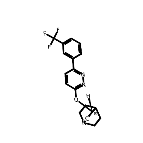 FC(F)(F)c1cccc(-c2ccc(O[C@H]3CN4CCC3CC4)nn2)c1